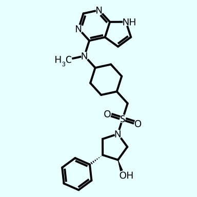 CN(c1ncnc2[nH]ccc12)C1CCC(CS(=O)(=O)N2C[C@@H](O)[C@H](c3ccccc3)C2)CC1